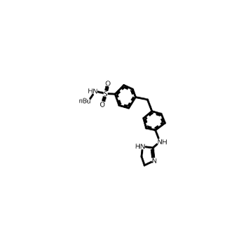 CCCCNS(=O)(=O)c1ccc(Cc2ccc(NC3=NCCN3)cc2)cc1